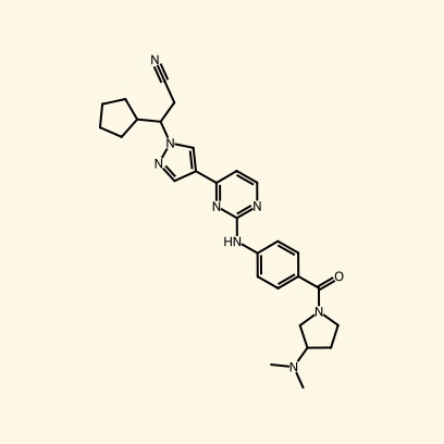 CN(C)C1CCN(C(=O)c2ccc(Nc3nccc(-c4cnn(C(CC#N)C5CCCC5)c4)n3)cc2)C1